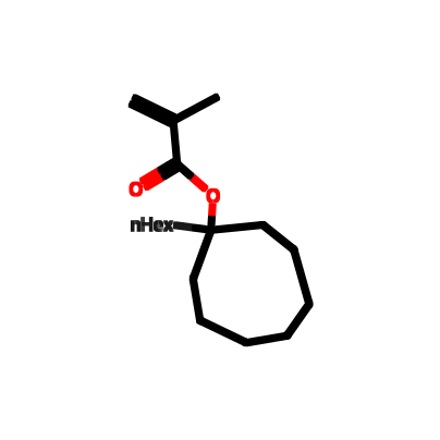 C=C(C)C(=O)OC1(CCCCCC)CCCCCCC1